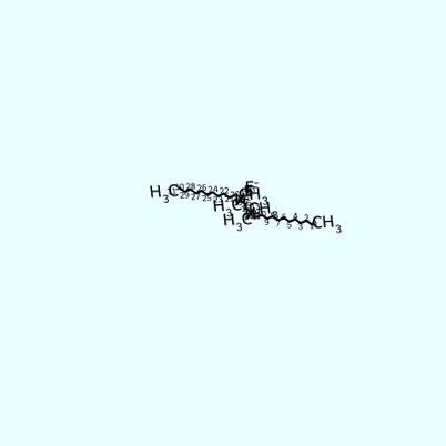 CCCCCCCCCCCC[N+](C)(C)CC[N+](C)(C)CCCCCCCCCCCC.[F-].[F-]